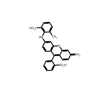 C=c1ccc2c(c1)Oc1cc(Nc3c(C)cccc3C(=O)O)ccc1C=2c1ccccc1S(=O)(=O)O